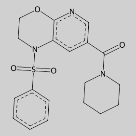 O=C(c1cnc2c(c1)N(S(=O)(=O)c1ccccc1)CCO2)N1CCCCC1